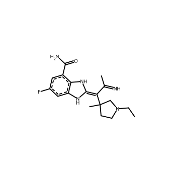 CCN1CCC(C)(/C(C(C)=N)=C2\Nc3cc(F)cc(C(N)=O)c3N2)C1